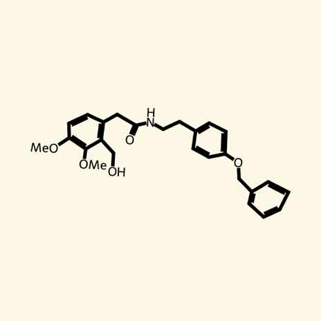 COc1ccc(CC(=O)NCCc2ccc(OCc3ccccc3)cc2)c(CO)c1OC